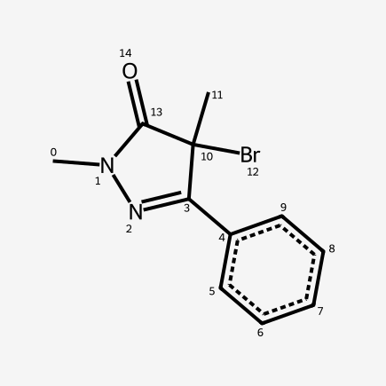 CN1N=C(c2ccccc2)C(C)(Br)C1=O